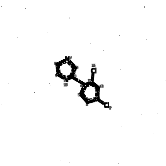 Clc1ccc(-c2[c]nccn2)c(Cl)c1